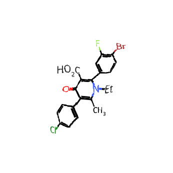 CCn1c(C)c(-c2ccc(Cl)cc2)c(=O)c(C(=O)O)c1-c1ccc(Br)c(F)c1